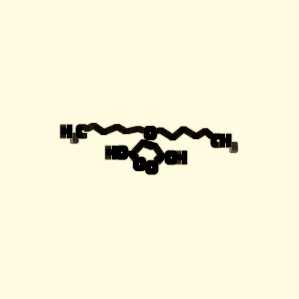 CCCCCCOCCCCCC.O=C(O)/C=C\C(=O)O